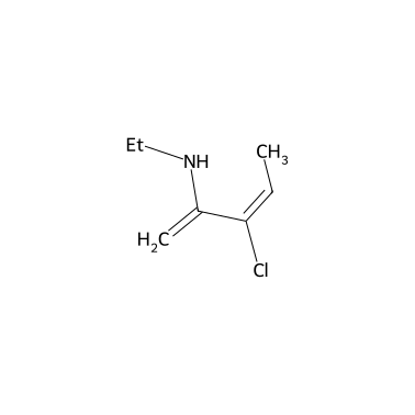 C=C(NCC)/C(Cl)=C\C